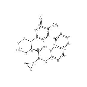 Cn1ccc(C2CCNC[C@@H]2C(=O)N(Cc2ccc3ccccc3c2)C2CC2)cc1=O